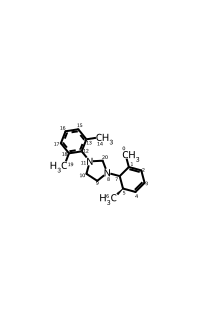 CC1=CC=C[C@@H](C)C1N1CCN(c2c(C)cccc2C)C1